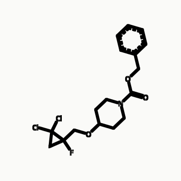 O=C(OCc1ccccc1)N1CCC(OCC2(F)CC2(Cl)Cl)CC1